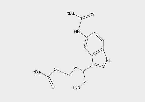 CC(C)(C)C(=O)Nc1ccc2[nH]cc(C(CN)CCOC(=O)C(C)(C)C)c2c1